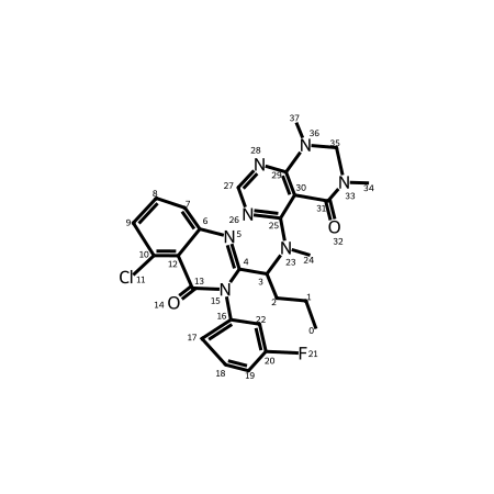 CCCC(c1nc2cccc(Cl)c2c(=O)n1-c1cccc(F)c1)N(C)c1ncnc2c1C(=O)N(C)CN2C